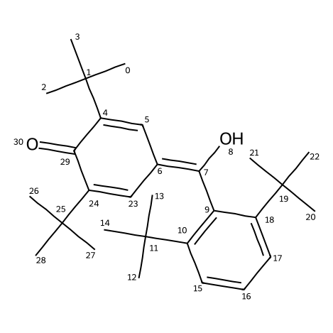 CC(C)(C)C1=CC(=C(O)c2c(C(C)(C)C)cccc2C(C)(C)C)C=C(C(C)(C)C)C1=O